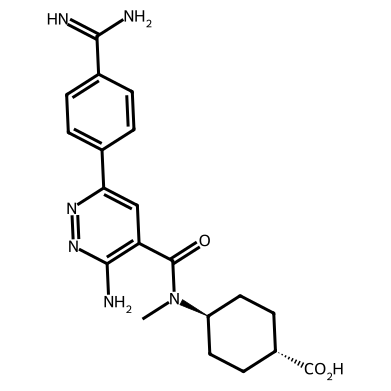 CN(C(=O)c1cc(-c2ccc(C(=N)N)cc2)nnc1N)[C@H]1CC[C@H](C(=O)O)CC1